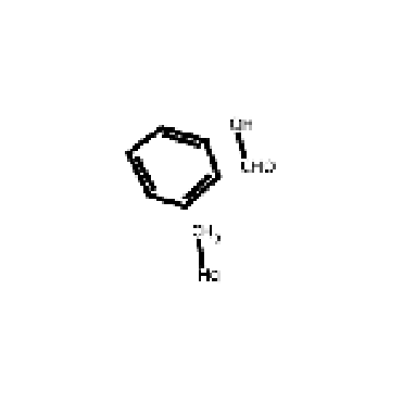 O=CO.[CH3][Hg].c1ccccc1